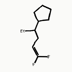 CCC(CC=C(F)F)C1CCCC1